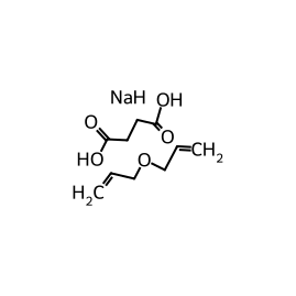 C=CCOCC=C.O=C(O)CCC(=O)O.[NaH]